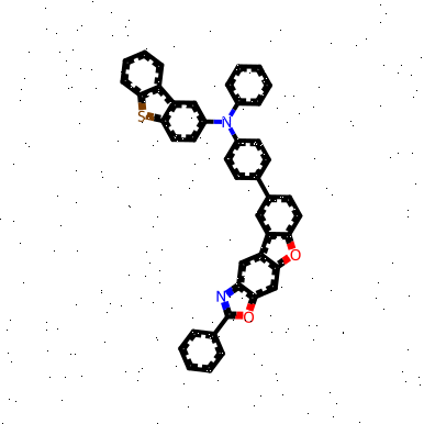 c1ccc(-c2nc3cc4c(cc3o2)oc2ccc(-c3ccc(N(c5ccccc5)c5ccc6sc7ccccc7c6c5)cc3)cc24)cc1